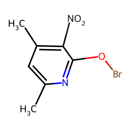 Cc1cc(C)c([N+](=O)[O-])c(OBr)n1